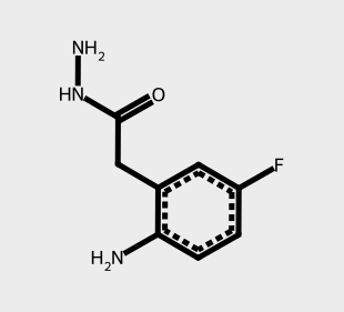 NNC(=O)Cc1cc(F)ccc1N